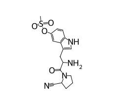 CS(=O)(=O)Oc1ccc2[nH]cc(CC(N)C(=O)N3CCCC3C#N)c2c1